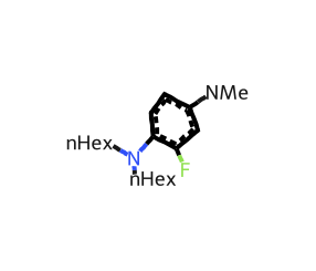 CCCCCCN(CCCCCC)c1ccc(NC)cc1F